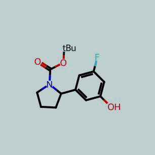 CC(C)(C)OC(=O)N1CCCC1c1cc(O)cc(F)c1